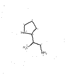 CC(CN)C1CCCN1